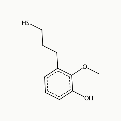 COc1c(O)cccc1CCCS